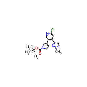 Cn1ccc(-c2cc(Cl)ncc2C2=CCN(C(=O)OC(C)(C)C)C2)n1